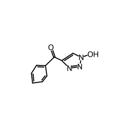 O=C(c1ccccc1)c1cn(O)nn1